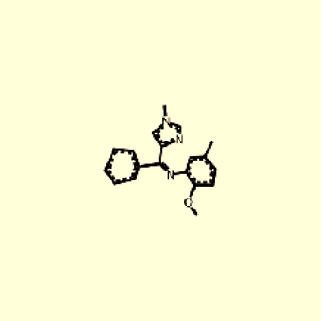 COc1ccc(C)cc1N=C(c1ccccc1)c1cn(C)cn1